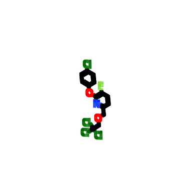 Fc1ccc(COCC(Cl)(Cl)Cl)nc1Oc1ccc(Cl)cc1